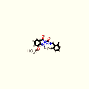 Cc1cccc(C(C)C)c1CNC(=O)n1c(=O)c2cccc(OC(=O)O)c2n1C